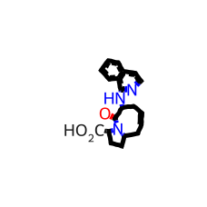 O=C(O)C1CCC2C/C=C\CC(Nc3nccc4ccccc34)C(=O)N21